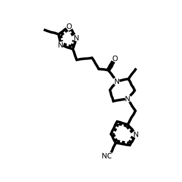 Cc1nc(CCCC(=O)N2CCN(Cc3ccc(C#N)cn3)CC2C)no1